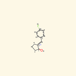 O=C1CCC/C1=C\c1ccc(F)cc1